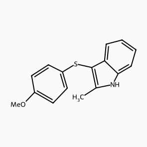 COc1ccc(Sc2c(C)[nH]c3ccccc23)cc1